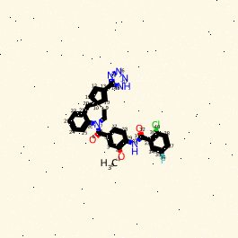 COc1cc(C(=O)N2CC[C@@]3(C=CC(c4nnn[nH]4)=C3)Cc3ccccc32)ccc1NC(=O)c1cc(F)ccc1Cl